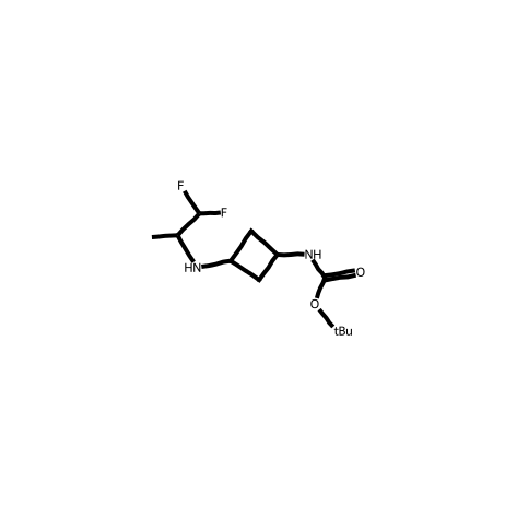 CC(NC1CC(NC(=O)OC(C)(C)C)C1)C(F)F